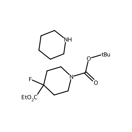 C1CCNCC1.CCOC(=O)C1(F)CCN(C(=O)OC(C)(C)C)CC1